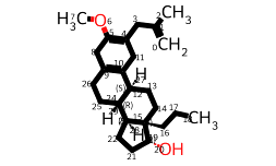 C=C(C)CC1=C(OC)CC2=C(C1)[C@H]1CC[C@]3(CCC)[C@H](O)CC[C@H]3[C@@H]1CC2